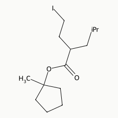 CC(C)CC(CCI)C(=O)OC1(C)CCCC1